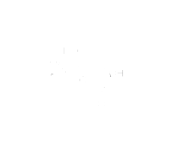 C(OCC1CO1)C1CO1.OCCCO